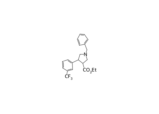 CCOC(=O)C1CN(Cc2ccccc2)CC1c1cccc(C(F)(F)F)c1